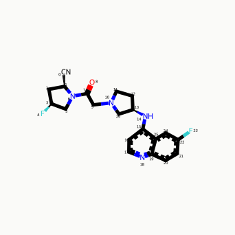 N#C[C@@H]1C[C@H](F)CN1C(=O)CN1CC[C@@H](Nc2ccnc3ccc(F)cc23)C1